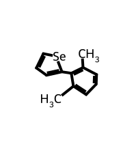 Cc1cccc(C)c1-c1ccc[se]1